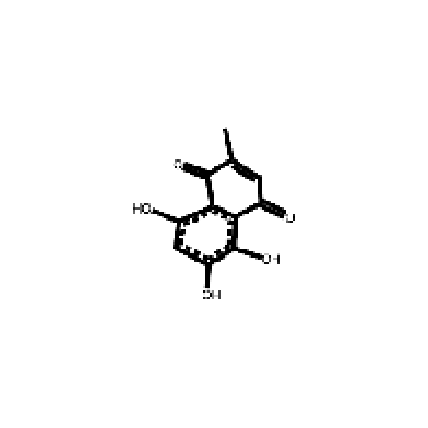 CC1=CC(=O)c2c(O)c(O)cc(O)c2C1=O